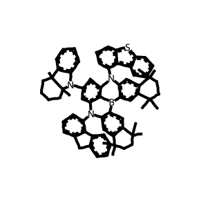 CC1(C)CCC(C)(C)c2cc3c(cc21)B1c2cc4c(cc2N(c2cccc5sc6ccccc6c25)c2cc(N5c6ccccc6C6(C)CCCCC56C)cc(c21)N3c1cccc2c1-c1ccccc1C2)C(C)(C)CCC4(C)C